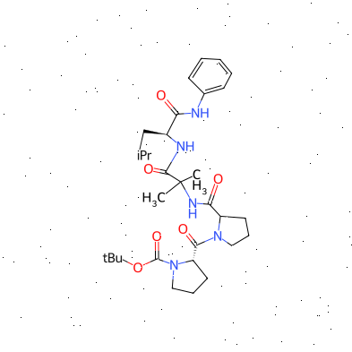 CC(C)C[C@H](NC(=O)C(C)(C)NC(=O)C1CCCN1C(=O)[C@@H]1CCCN1C(=O)OC(C)(C)C)C(=O)Nc1ccccc1